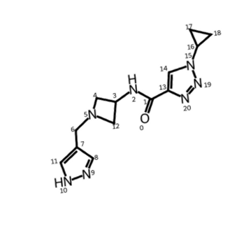 O=C(NC1CN(Cc2cn[nH]c2)C1)c1cn(C2CC2)nn1